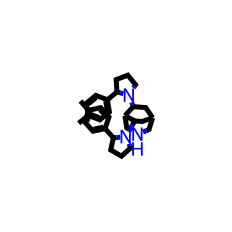 Cc1ccc(C2CCCN2C2CC3CNCC2C(N2CCCC2c2ccc(C)cc2)C3)cc1